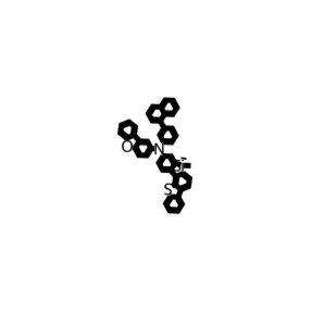 C[Si]1(C)c2cc(N(c3cccc(-c4cccc5ccccc45)c3)c3ccc4oc5ccccc5c4c3)ccc2-c2c1ccc1c2sc2ccccc21